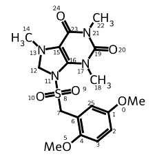 COc1ccc(OC)c(CS(=O)(=O)N2CN(C)c3c2n(C)c(=O)n(C)c3=O)c1